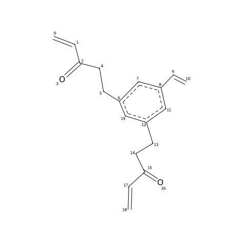 C=CC(=O)CCc1cc(C=C)cc(CCC(=O)C=C)c1